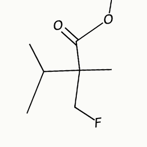 COC(=O)C(C)(CF)C(C)C